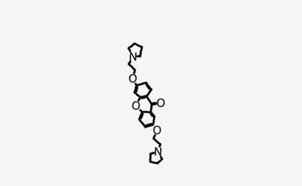 O=c1c2ccc(OCCN3CCCC3)cc2oc2ccc(OCCN3CCCC3)cc12